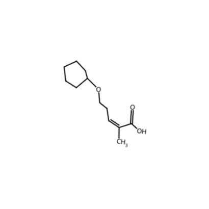 CC(=CCCOC1CCCCC1)C(=O)O